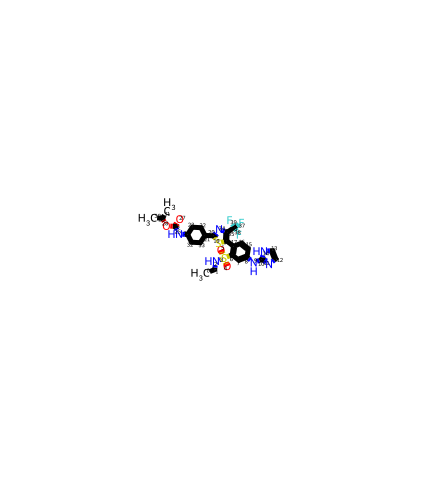 CCNS(=O)(=O)c1cc(Nc2ncc[nH]2)ccc1-c1sc(C2CCC(NC(=O)OC(C)C)CC2)nc1C(F)(F)F